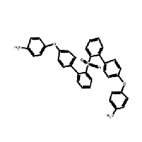 Nc1ccc(Oc2ccc(-c3ccccc3S(=O)(=O)c3ccccc3-c3ccc(Oc4ccc(N)cc4)cc3)cc2)cc1